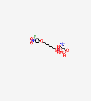 C[N+](C)(C)C([O-])C(CC(=O)O)OP(=O)(O)OCCCCCCCCOc1ccc([N+](=O)[O-])c(F)c1